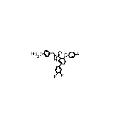 O=C(O)c1ccc(CNC(=O)c2cc(-c3ccc(F)c(F)c3)ccc2Oc2ccc(F)cc2)cc1